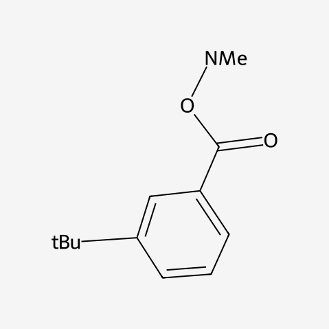 CNOC(=O)c1cccc(C(C)(C)C)c1